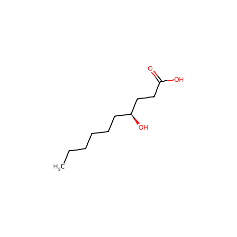 CCCCCC[C@H](O)CCC(=O)O